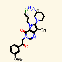 COc1cccc(C(=O)Cn2cnc3c(C#N)c(N4CCC[C@H](N)C4)n(C/C=C/Cl)c3c2=O)c1